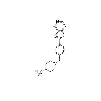 CC1CCN(Cc2ccc(-c3cc4ncn[c]c4s3)cc2)CC1